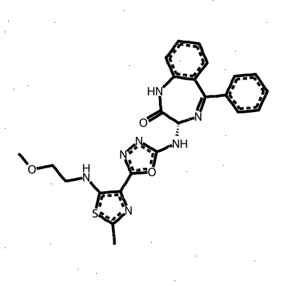 COCCNc1sc(C)nc1-c1nnc(N[C@H]2N=C(c3ccccc3)c3ccccc3NC2=O)o1